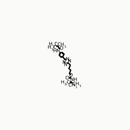 CC(C)(C)NC(=O)OCCCCc1nnc(-c2ccc(NC(=O)C(C)(C)C)cc2)nn1